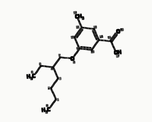 CCCCC(CC)COc1cc(C)cc(C(=O)O)c1